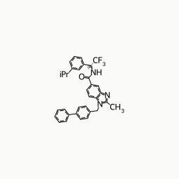 Cc1nc2cc(C(=O)N[C@H](c3cccc(C(C)C)c3)C(F)(F)F)ccc2n1Cc1ccc(-c2ccccc2)cc1